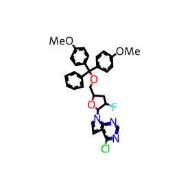 COc1ccc(C(OCC2CC(F)C(n3ccc4c(Cl)ncnc43)O2)(c2ccccc2)c2ccc(OC)cc2)cc1